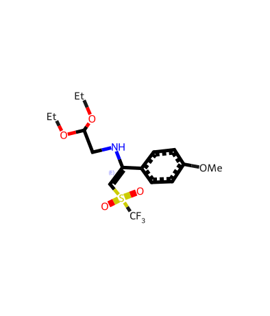 CCOC(CN/C(=C/S(=O)(=O)C(F)(F)F)c1ccc(OC)cc1)OCC